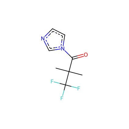 CC(C)(C(=O)n1ccnc1)C(F)(F)F